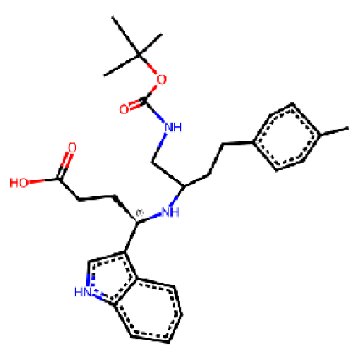 Cc1ccc(CCC(CNC(=O)OC(C)(C)C)N[C@H](CCC(=O)O)c2c[nH]c3ccccc23)cc1